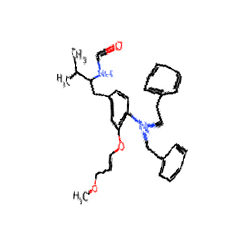 COCCCOc1cc(CC(NC=O)C(C)C)ccc1N(Cc1ccccc1)Cc1ccccc1